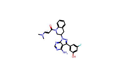 CN(C)/C=C/C(=O)N1CC(n2nc(-c3cc(O)cc(F)c3)c3c(N)ncnc32)Cc2ccccc21